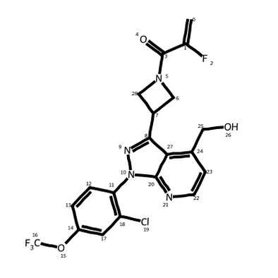 C=C(F)C(=O)N1CC(c2nn(-c3ccc(OC(F)(F)F)cc3Cl)c3nccc(CO)c23)C1